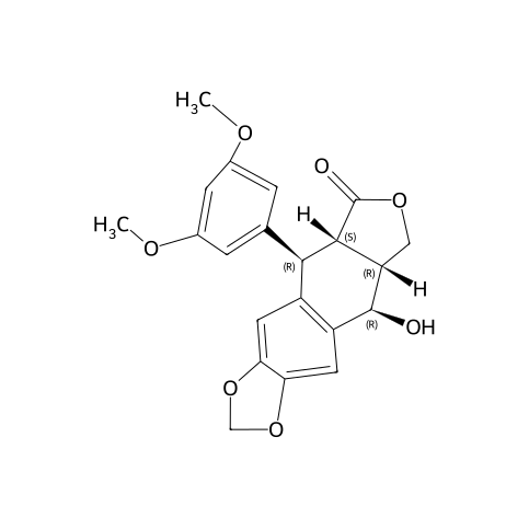 COc1cc(OC)cc([C@@H]2c3cc4c(cc3[C@H](O)[C@H]3COC(=O)[C@@H]23)OCO4)c1